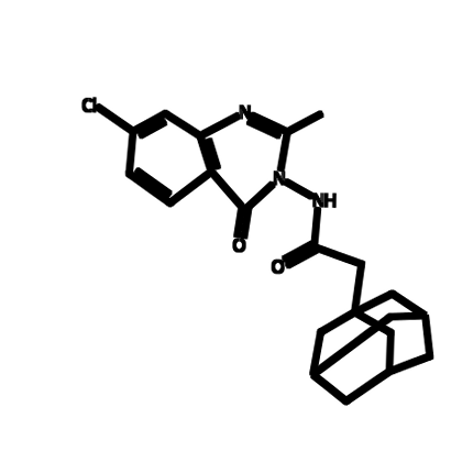 Cc1nc2cc(Cl)ccc2c(=O)n1NC(=O)CC12CC3CC(CC(C3)C1)C2